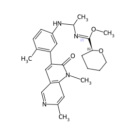 CO/C(=N\C(C)Nc1ccc(C)c(-c2cc3cnc(C)cc3n(C)c2=O)c1)[C@@H]1CCCCO1